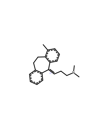 Cc1cccc2c1CCc1ccccc1/C2=C/CCN(C)C